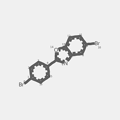 Brc1ccc(-c2nc3cc(Br)ccc3o2)cc1